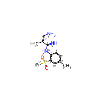 C/C(=C/N)C(=N)Nc1ccc(C)cc1S(=O)(=O)C(C)C